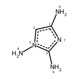 Nc1cn(N)c(N)n1